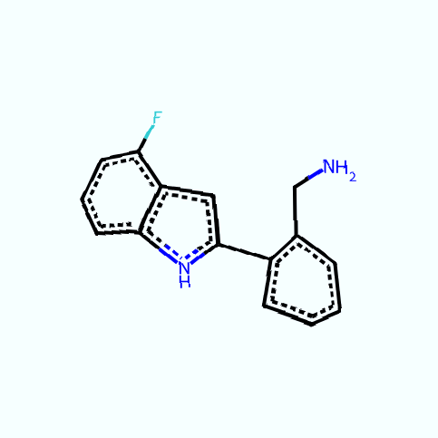 NCc1ccccc1-c1cc2c(F)cccc2[nH]1